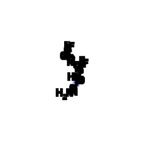 Nc1ccc(/C=C/C(=O)NCc2cc3cc(-c4ccc(C(=O)N5CC(F)(F)C5)cn4)cc(C(F)(F)F)c3s2)cn1